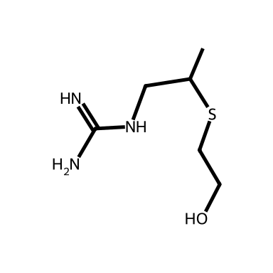 CC(CNC(=N)N)SCCO